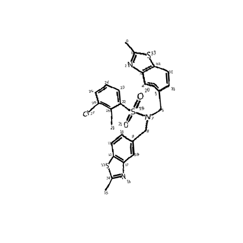 Cc1nc2cc(CN(Cc3ccc4sc(C)nc4c3)S(=O)(=O)c3cccc(Cl)c3C)ccc2s1